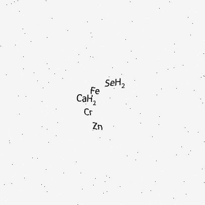 [CaH2].[Cr].[Fe].[SeH2].[Zn]